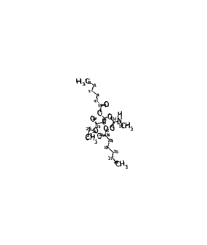 CCCCCC(=O)OC(OC(=O)NC)=C(OC(=O)CCCCC)C(=O)OCC